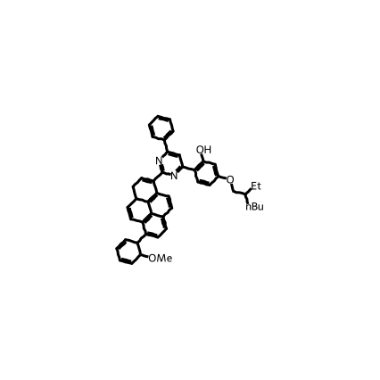 CCCCC(CC)COc1ccc(-c2cc(-c3ccccc3)nc(C3=CCC4C=Cc5c(C6C=CC=CC6OC)ccc6ccc3c4c56)n2)c(O)c1